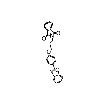 O=C1c2ccccc2C(=O)N1CCCOc1ccc(-c2nc3ccccc3o2)cc1